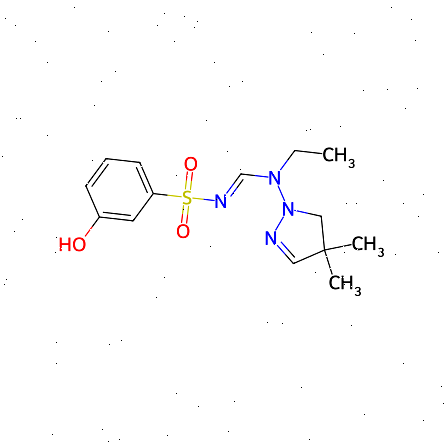 CCN(C=NS(=O)(=O)c1cccc(O)c1)N1CC(C)(C)C=N1